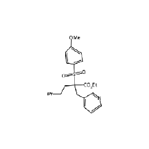 CCOC(=O)C(CCC(C)C)(Cc1cccnc1)S(=O)(=O)c1ccc(OC)cc1